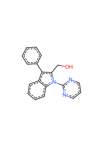 OCc1c(-c2ccccc2)c2ccccc2n1-c1ncccn1